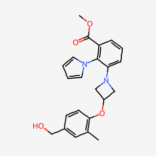 COC(=O)c1cccc(N2CC(Oc3ccc(CO)cc3C)C2)c1-n1cccc1